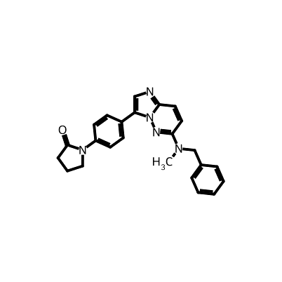 CN(Cc1ccccc1)c1ccc2ncc(-c3ccc(N4CCCC4=O)cc3)n2n1